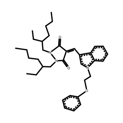 CCCCC(CC)CN1C(=O)C(=Cc2cn(CCOc3ccccc3)c3ccccc23)C(=O)N1CC(CC)CCCC